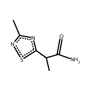 C[C](C(N)=O)c1nc(C)ns1